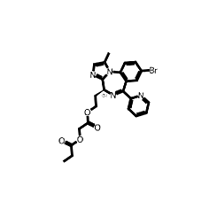 CCC(=O)OCC(=O)OCC[C@@H]1N=C(c2ccccn2)c2cc(Br)ccc2-n2c(C)cnc21